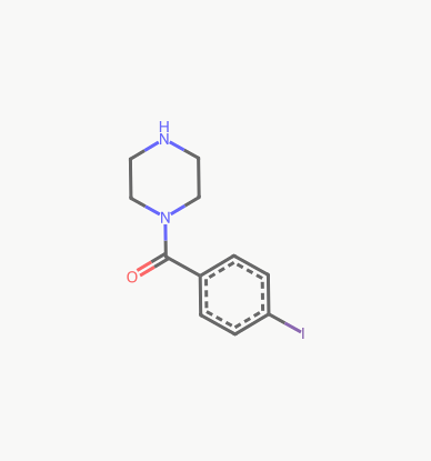 O=C(c1ccc(I)cc1)N1CCNCC1